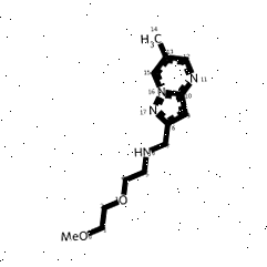 COCCOCCNCc1cc2ncc(C)cn2n1